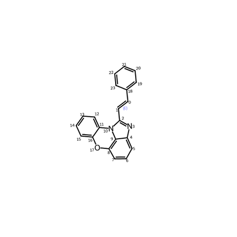 C(=C\c1nc2cccc3c2n1-c1ccccc1O3)/c1ccccc1